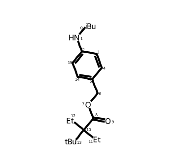 CCC(C)Nc1ccc(COC(=O)C(CC)(CC)C(C)(C)C)cc1